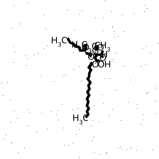 CCCCCCCCCCCCCCCC/C=C\O[C@H]1C(O)O[C@@H]2COC(C)(C)O[C@H]2[C@@H]1OCC[C@@H](CCCCCCC)OC